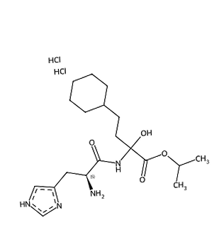 CC(C)OC(=O)C(O)(CCC1CCCCC1)NC(=O)[C@@H](N)Cc1c[nH]cn1.Cl.Cl